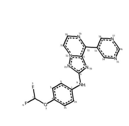 FC(F)Oc1ccc(Nc2nc3c(-c4cncnc4)nccn3n2)cc1